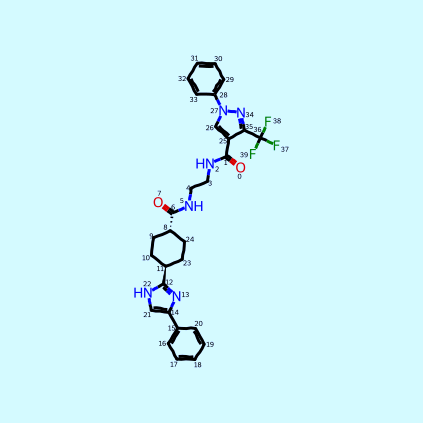 O=C(NCCNC(=O)[C@H]1CC[C@H](c2nc(-c3ccccc3)c[nH]2)CC1)c1cn(-c2ccccc2)nc1C(F)(F)F